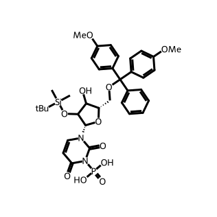 COc1ccc(C(OC[C@@H]2O[C@H](n3ccc(=O)n(P(=O)(O)O)c3=O)C(O[Si](C)(C)C(C)(C)C)C2O)(c2ccccc2)c2ccc(OC)cc2)cc1